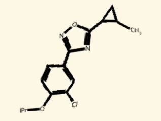 CC(C)Oc1ccc(-c2noc(C3CC3C)n2)cc1Cl